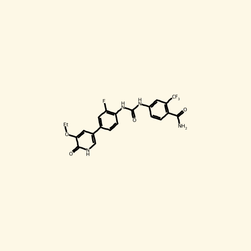 CCOc1cc(-c2ccc(NC(=O)Nc3ccc(C(N)=O)c(C(F)(F)F)c3)c(F)c2)c[nH]c1=O